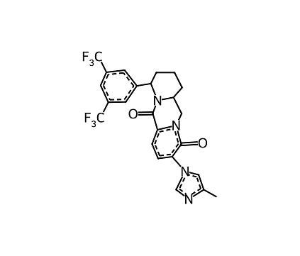 Cc1cn(-c2ccc3n(c2=O)CC2CCCC(c4cc(C(F)(F)F)cc(C(F)(F)F)c4)N2C3=O)cn1